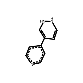 C1=CC(c2ccncc2)=CNN1